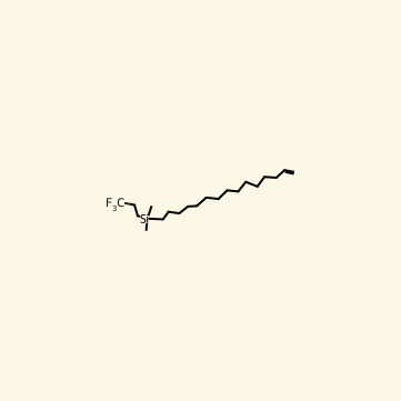 C=CCCCCCCCCCCCCC[Si](C)(C)CCC(F)(F)F